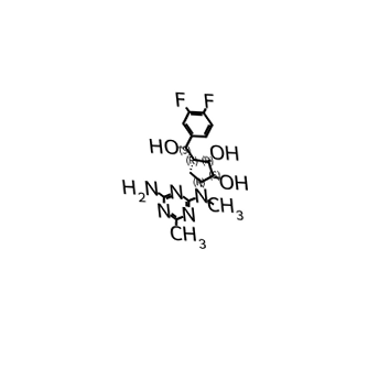 Cc1nc(N)nc(N(C)[C@@H]2C[C@H]([C@H](O)c3ccc(F)c(F)c3)[C@@H](O)[C@H]2O)n1